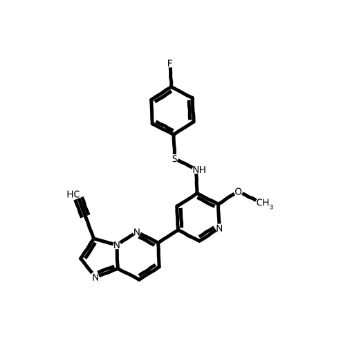 C#Cc1cnc2ccc(-c3cnc(OC)c(NSc4ccc(F)cc4)c3)nn12